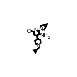 Nc1c(C2CCN(CC3CC3)CC2)cc(Cl)nc1N1CC2CC2C1